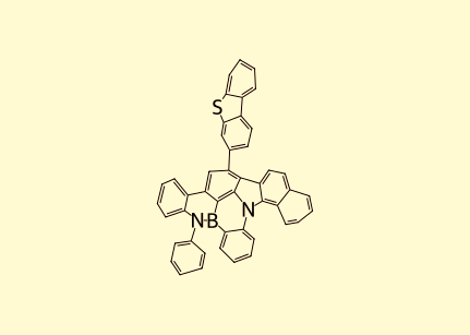 c1ccc(N2B3c4ccccc4-n4c5c3c(cc(-c3ccc6c(c3)sc3ccccc36)c5c3ccc5ccccc5c34)-c3ccccc32)cc1